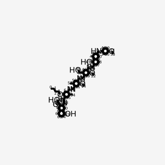 CCCCOc1cc(N=Nc2cc(OC)c(N=Nc3cc(OC)c(N=Nc4ccc5cc(Nc6ccc(OC)cc6)ccc5c4O)cc3CO)cc2C)c(C)cc1N=Nc1cc2c(O)cccc2cc1S(=O)(=O)O